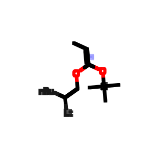 C/C=C(\OCC(CC)CCCC)O[Si](C)(C)C